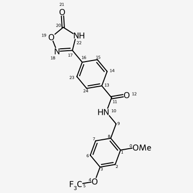 COc1cc(OC(F)(F)F)ccc1CNC(=O)c1ccc(-c2noc(=O)[nH]2)cc1